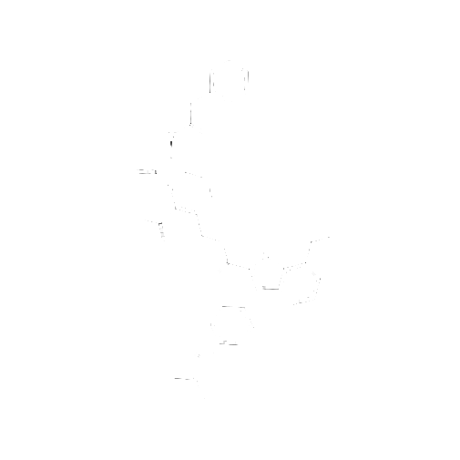 CC(C)c1cccc2c(-c3ccc(S(=O)(=O)N(C)C)cc3)c(C(=O)OCC3=C(C(=O)O)N4C(=O)[C@@H](NC(=O)Cc5ccccc5)[C@H]4[S+]([O-])C3)[nH]c12